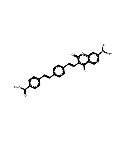 CCCN(CCC)c1ccc2c(CC)c(/C=C/c3ccc(/C=C/c4ccc(C(=O)OC)cc4)cc3)c(=O)oc2c1